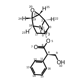 CN1[C@@H]2C[C@H](OC(=O)[C@@H](CO)c3ccccc3)C[C@H]1[C@@H]1O[C@@H]12